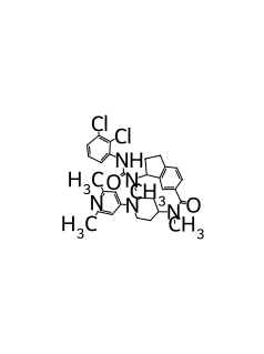 Cc1cc(N2CCC(N(C)C(=O)c3ccc4c(c3)C(N(C)C(=O)Nc3cccc(Cl)c3Cl)CC4)CC2)cc(C)n1